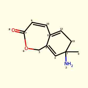 CC1(N)C=C2COC(=O)C=CC2=CC1